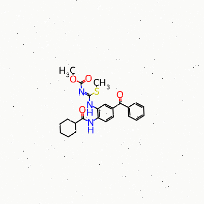 COC(=O)N=C(Nc1cc(C(=O)c2ccccc2)ccc1NC(=O)C1CCCCC1)SC